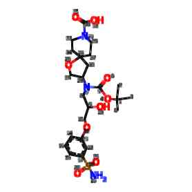 CC(C)(C)OC(=O)N(CC(O)COc1cccc(S(N)(=O)=O)c1)C1COC2(CCN(C(=O)O)CC2)C1